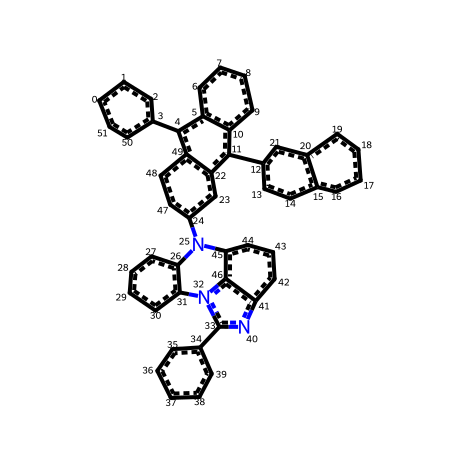 c1ccc(-c2c3ccccc3c(-c3ccc4ccccc4c3)c3cc(N4c5ccccc5-n5c(-c6ccccc6)nc6cccc4c65)ccc23)cc1